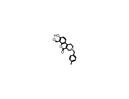 Cc1ccc(CN2CCc3c(c(=O)oc4c(C=O)c(O)ccc34)C2)cc1